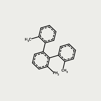 Cc1ccccc1-c1cccc(P)c1-c1ccccc1C